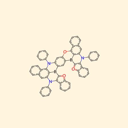 c1ccc(N2c3cc4c(cc3B3c5oc6ccccc6c5N(c5ccccc5)c5cc6ccccc6c2c53)B2c3oc5ccccc5c3N(c3ccccc3)c3cc5ccccc5c(c32)O4)cc1